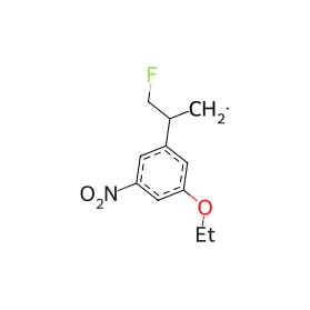 [CH2]C(CF)c1cc(OCC)cc([N+](=O)[O-])c1